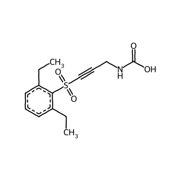 CCc1cccc(CC)c1S(=O)(=O)C#CCNC(=O)O